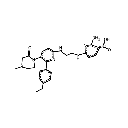 CCc1ccc(-c2nc(NCCNc3ccc([NH+]([O-])O)c(N)n3)ccc2N2CCN(C)CC2=O)cc1